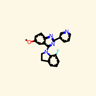 COc1ccc2nc(-c3cccnc3)nc(N3CCc4cccc(F)c43)c2c1